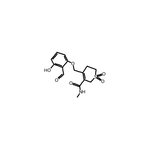 CNC(=O)C1=C(COc2cccc(O)c2C=O)CCS(=O)(=O)C1